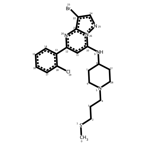 CSCCCN1CCC(Nc2cc(-c3ccccc3Cl)nc3c(Br)cnn23)CC1